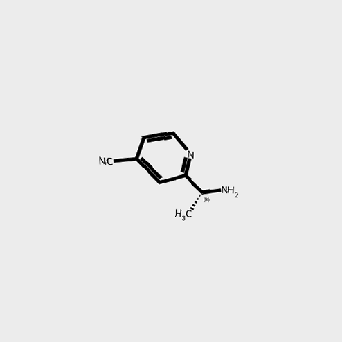 C[C@@H](N)c1cc(C#N)ccn1